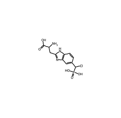 NC(Cc1nc2cc(C(Cl)P(=O)(O)O)ccc2[nH]1)C(=O)O